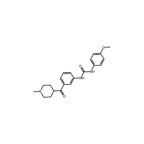 COc1ccc(NC(=O)Nc2cccc(C(=O)C3CCN(C)CC3)c2)cc1